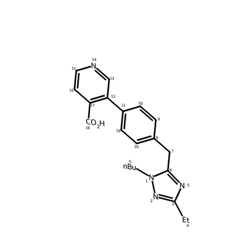 CCCCn1nc(CC)nc1Cc1ccc(-c2cnccc2C(=O)O)cc1